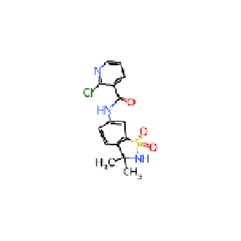 CC1(C)NS(=O)(=O)c2cc(NC(=O)c3cccnc3Cl)ccc21